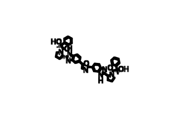 C[C@@](O)(C(=O)N1CCCC1c1nc2ccc(-c3ncc(-c4ccc5[nH]c([C@@H]6CCCN6C(=O)[C@@](C)(O)c6ccccc6)nc5c4)o3)cc2[nH]1)c1ccccc1